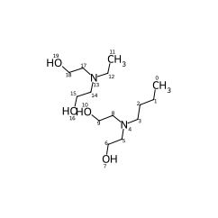 CCCCN(CCO)CCO.CCN(CCO)CCO